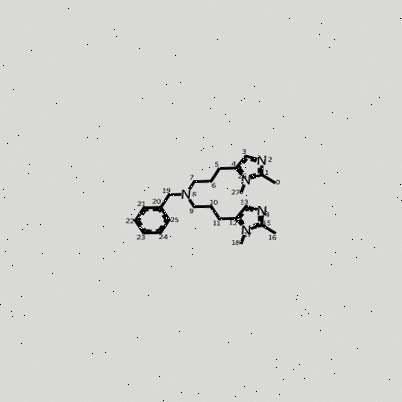 Cc1ncc(CCCN(CCCc2cnc(C)n2C)Cc2ccccc2)n1C